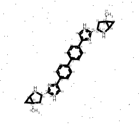 C[C@]12CC1N[C@H](c1nc(-c3ccc(-c4ccc(-c5c[nH]c([C@@H]6C[C@@]7(C)CC7N6)n5)cc4)cc3)c[nH]1)C2